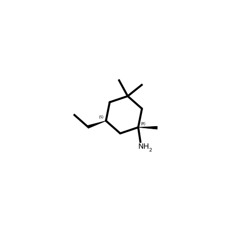 CC[C@H]1CC(C)(C)C[C@](C)(N)C1